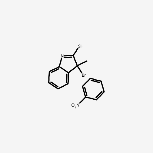 CC1(Br)C(S)=Nc2ccccc21.O=[N+]([O-])c1ccccc1